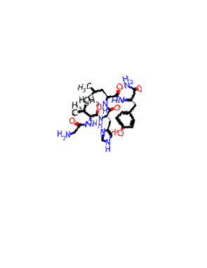 CC(C)C[C@H](NC(=O)[C@H](Cc1c[nH]cn1)NC(=O)[C@@H](NC(=O)CN)C(C)C)C(=O)N[C@@H](Cc1ccc(O)cc1)C(N)=O